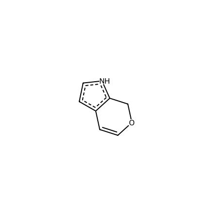 C1=Cc2cc[nH]c2CO1